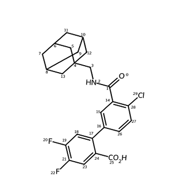 O=C(NCC12CC3CC(CC(C3)C1)C2)c1cc(-c2cc(F)c(F)cc2C(=O)O)ccc1Cl